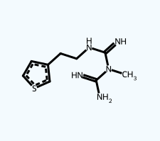 CN(C(=N)N)C(=N)NCCc1ccsc1